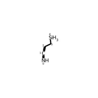 N=C=CC[SiH3]